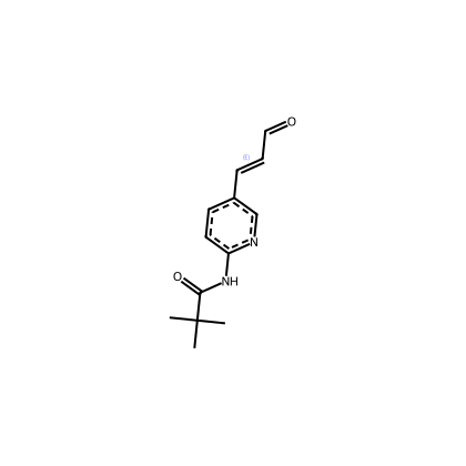 CC(C)(C)C(=O)Nc1ccc(/C=C/C=O)cn1